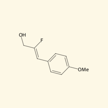 COc1ccc(/C=C(\F)CO)cc1